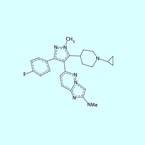 CNc1cn2nc(-c3c(-c4ccc(F)cc4)nn(C)c3C3CCN(C4CC4)CC3)ccc2n1